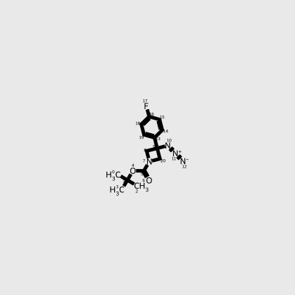 CC(C)(C)OC(=O)N1CC(N=[N+]=[N-])(c2ccc(F)cc2)C1